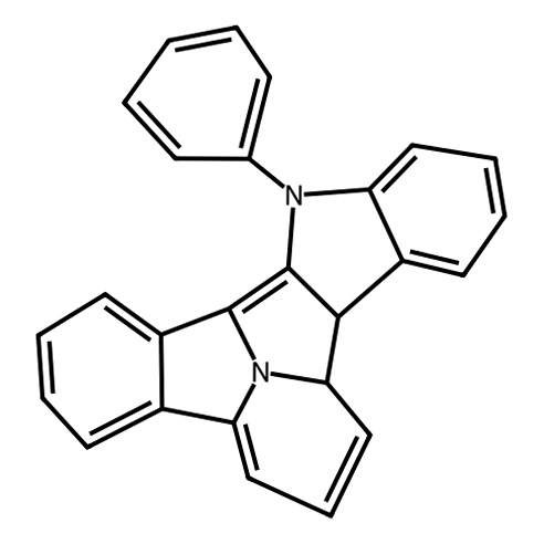 C1=CC2C3C(=c4c5ccccc5c(n42)=C1)N(c1ccccc1)c1ccccc13